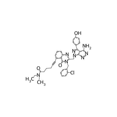 CCN(CC)C(=O)CCCC#Cc1cccc2nc(Cn3nc(-c4ccc(O)cc4)c4c(N)ncnc43)n(Cc3ccccc3Cl)c(=O)c12